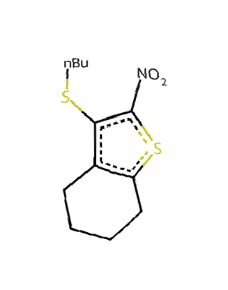 CCCCSc1c([N+](=O)[O-])sc2c1CCCC2